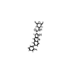 Cc1ccccc1-c1ccc2nc3c(cc2c1)C[C@H](C(=O)NC1CC(C)OC(C)C1)N3